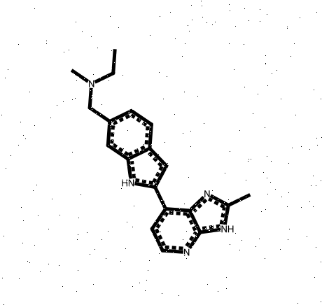 CCN(C)Cc1ccc2cc(-c3ccnc4[nH]c(C)nc34)[nH]c2c1